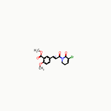 COC(=O)c1cc(/C=C/C(=O)N2CCC=C(Br)C2=O)ccc1OC